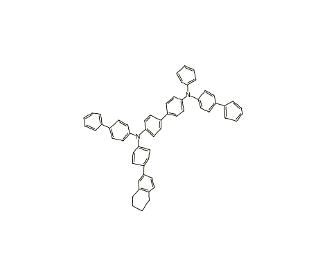 c1ccc(-c2ccc(N(c3ccccc3)c3ccc(-c4ccc(N(c5ccc(-c6ccccc6)cc5)c5ccc(-c6ccc7c(c6)CCCC7)cc5)cc4)cc3)cc2)cc1